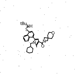 Cc1c(C(=O)N2CC3(CCOCC3)C2)cc(-c2ccc(SNC(C)(C)C)c3ccccc23)n1CC1CCCCC1